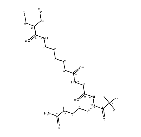 CC(C)(C)C(=O)[C@H](CCCNC(N)=O)NC(=O)CNC(=O)CCCCCNC(=O)C(CBr)CBr